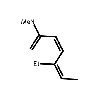 C=C(/C=C\C(=C/C)CC)NC